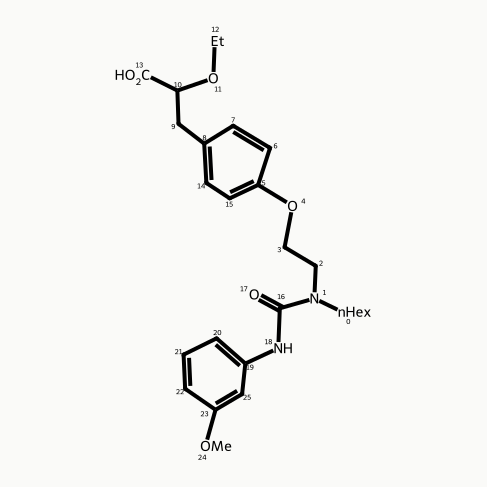 CCCCCCN(CCOc1ccc(CC(OCC)C(=O)O)cc1)C(=O)Nc1cccc(OC)c1